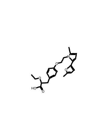 CCOC(Cc1ccc(OCCn2c(C)ccc2-c2ccc(C)o2)cc1)C(=O)O